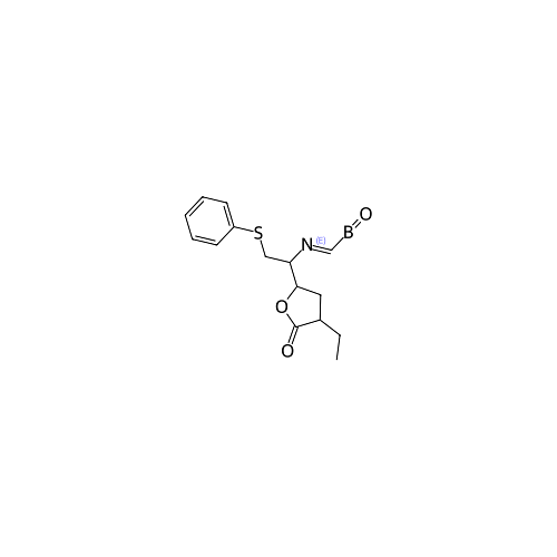 CCC1CC(C(CSc2ccccc2)/N=C/B=O)OC1=O